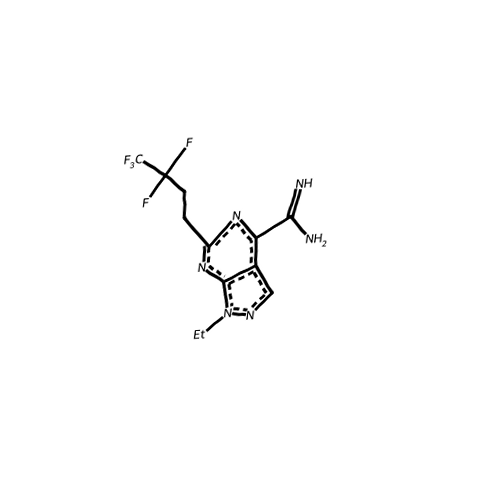 CCn1ncc2c(C(=N)N)nc(CCC(F)(F)C(F)(F)F)nc21